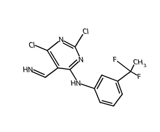 CC(F)(F)c1cccc(Nc2nc(Cl)nc(Cl)c2C=N)c1